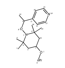 CCCOC1CC(C)(C)N(OC(C)c2ccncc2)C(C)(C)C1